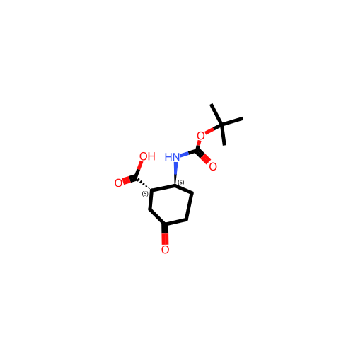 CC(C)(C)OC(=O)N[C@H]1CCC(=O)C[C@@H]1C(=O)O